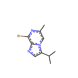 Cc1cn2c(C(C)C)cnc2c(Br)n1